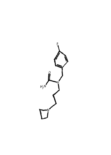 NC(=O)N(CCCN1CCC1)Cc1ccc(F)cc1